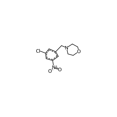 O=[N+]([O-])c1cc(Cl)cc(CN2CCOCC2)c1